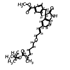 COC(=O)c1ccc2c(c1)C[C@]1(C2)C(=O)Nc2ncc(/C=C/COCCCCN(C)C(=O)OC(C)(C)C)cc21